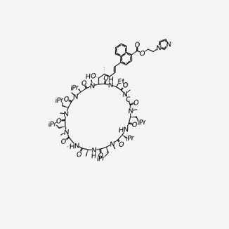 CC[C@@H]1NC(=O)[C@H]([C@H](O)[C@H](C)C/C=C/c2ccc(C(=O)OCCn3ccnc3)c3ccccc23)N(C)C(=O)[C@H](C(C)C)N(C)C(=O)[C@H](CC(C)C)N(C)C(=O)[C@H](CC(C)C)N(C)C(=O)[C@@H](C)NC(=O)[C@H](C)NC(=O)[C@H](CC(C)C)N(C)C(=O)[C@H](C(C)C)NC(=O)[C@H](CC(C)C)N(C)C(=O)CN(C)C1=O